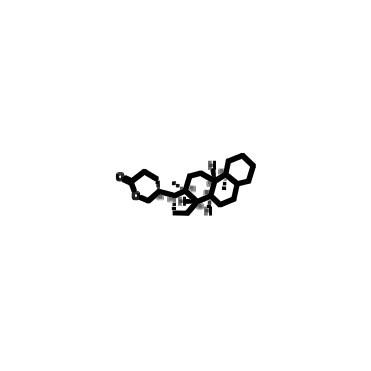 C[C@]12CC[C@H]3[C@@H](CCC4CCCC[C@@]43C)[C@@H]1CC[C@@H]2[C@H]1CCC(=O)OC1